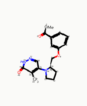 COC(=O)c1cccc(OC[C@H]2CCCN2c2cn[nH]c(=O)c2C(F)(F)F)c1